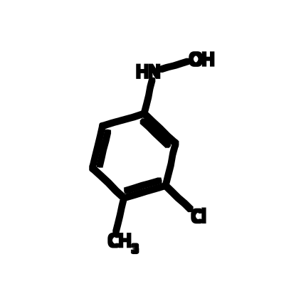 Cc1ccc(NO)cc1Cl